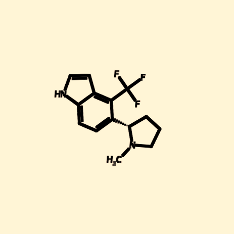 CN1CCC[C@H]1c1ccc2[nH]ccc2c1C(F)(F)F